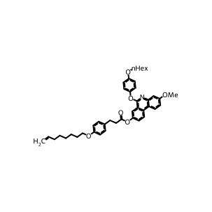 C=CCCCCCCOc1ccc(CCC(=O)Oc2ccc3c(c2)c(Oc2ccc(OCCCCCC)cc2)nc2cc(OC)ccc23)cc1